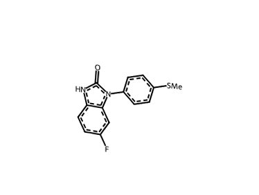 CSc1ccc(-n2c(=O)[nH]c3ccc(F)cc32)cc1